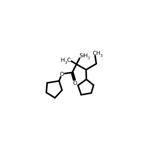 CCC(C1CCCC1)C(C)([SiH3])C(=O)OC1CCCC1